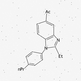 CCCc1ccc(-n2c(CC)nc3cc(C(C)=O)ccc32)cc1